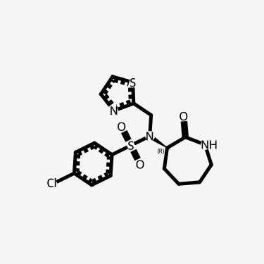 O=C1NCCCC[C@H]1N(Cc1nccs1)S(=O)(=O)c1ccc(Cl)cc1